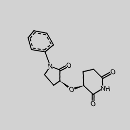 O=C1CC[C@H](O[C@H]2CCN(c3ccccc3)C2=O)C(=O)N1